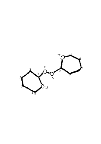 C1CCC(OOC2CCCCO2)OC1